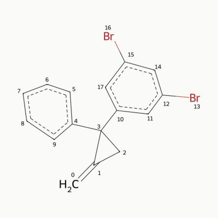 C=C1CC1(c1ccccc1)c1cc(Br)cc(Br)c1